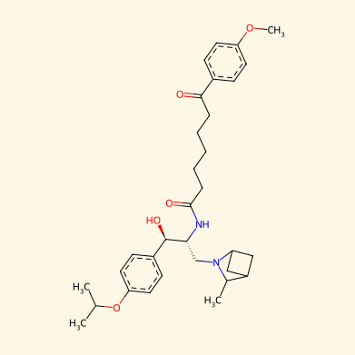 COc1ccc(C(=O)CCCCCC(=O)N[C@H](CN2C3CC(C3)C2C)[C@H](O)c2ccc(OC(C)C)cc2)cc1